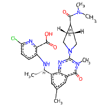 Cc1cc([C@H](C)Nc2ccc(Cl)nc2C(=O)O)c2nc(N3C[C@@H]4C(C(=O)N(C)C)[C@@H]4C3)n(C)c(=O)c2c1